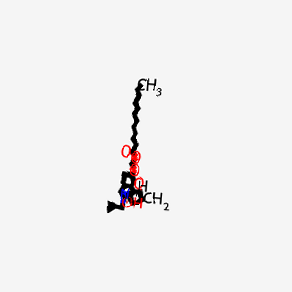 C=C1CC[C@@]2(O)C3CC4C=CC(OCOC(=O)CCCCCCCCCCC)=C5O[C@@H]1[C@]2(CCN3CC1CC1)C54